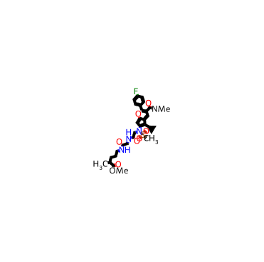 CNC(=O)c1cc2c(C3CC3)c(N(CC(=O)NCC(=O)NCCCC(C)C(=O)OC)S(C)(=O)=O)cc-2oc1-c1ccc(F)cc1